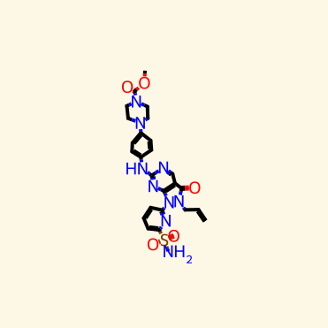 C=CCn1c(=O)c2cnc(Nc3ccc(N4CCN(C(=O)OC)CC4)cc3)nc2n1-c1cccc(S(N)(=O)=O)n1